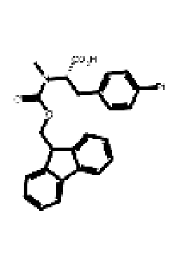 CCc1ccc(C[C@@H](C(=O)O)N(C)C(=O)OCC2c3ccccc3-c3ccccc32)cc1